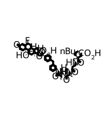 CCCCC(C)SC(CC(=O)O)C(=O)NCCC(=O)N[C@@H](C)C(=O)N[C@@H](C)C(=O)Nc1cccc(Cc2ccc([C@@H]3O[C@@H]4CC5[C@@H]6C[C@H](F)C7=CC(=O)C=C[C@]7(C)[C@@]6(F)[C@@H](O)C[C@]5(C)[C@]4(C(=O)O)O3)cc2)c1